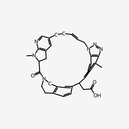 Cc1c2ccc3c1nnn3C/C=C/CCc1cnc3c(c1)CC(C(=O)N1CCc4ccc(cc4C1)C2CC(=O)O)N3C